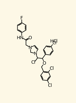 Cl.O=C(CN1C=CN(C(Cl)C(OCc2ccc(Cl)cc2Cl)c2ccc(Cl)cc2)C1)Nc1ccc(F)cc1